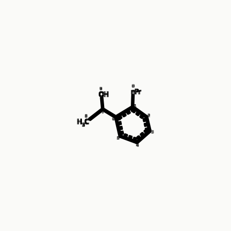 CCCc1ccccc1C(C)O